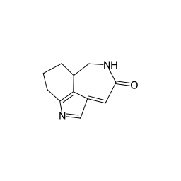 O=C1C=C2C=NC3=C2C(CCC3)CN1